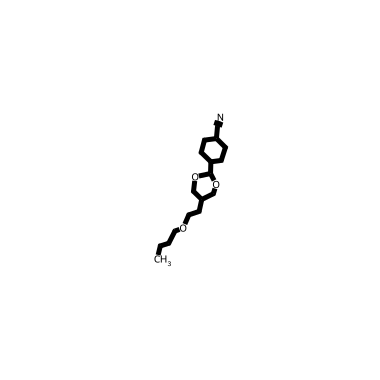 CCCCOCCC1COC(C2CCC(C#N)CC2)OC1